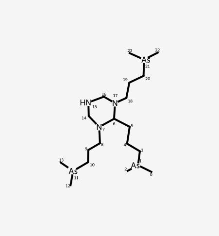 C[As](C)CCCC1N(CCC[As](C)C)CNCN1CCC[As](C)C